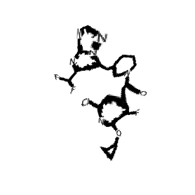 O=C(c1cc(Cl)nc(OC2CC2)c1F)N1CCCC(c2cc(C(F)F)nc3ncnn23)C1